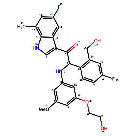 COc1cc(NC(C(=O)c2c[nH]c3c(C)cc(F)cc23)c2ccc(F)cc2CO)cc(OCCO)c1